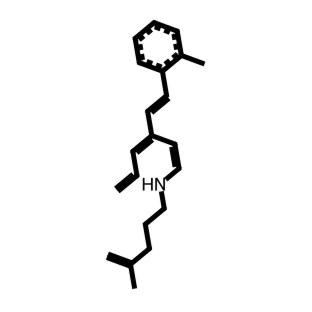 C=C/C=C(\C=C/NCCCC(=C)C)/C=C/c1ccccc1C